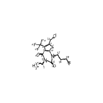 CCn1c(=O)c2c(C(F)(F)F)c(CCl)sc2n(CCCF)c1=O